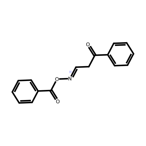 O=C(C/C=N/OC(=O)c1ccccc1)c1ccccc1